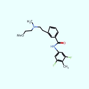 COCCN(C)CCc1cccc(C(=O)Nc2cc(F)c(C)c(F)c2)c1